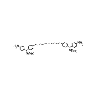 CCCCCCCCCCC(c1ccc(N)cc1)c1ccc(CCCCCCCCCCCc2ccc(C(CCCCCCCCCC)c3ccc(N)cc3)cc2)cc1